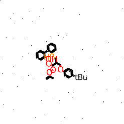 C=C(C)OOC(=O)C(COc1ccc(C(C)(C)C)cc1)CPc1ccccc1-c1ccccc1O